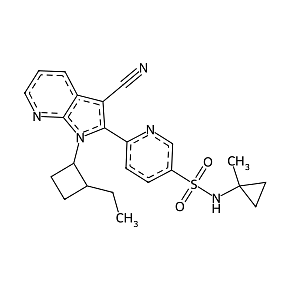 CCC1CCC1n1c(-c2ccc(S(=O)(=O)NC3(C)CC3)cn2)c(C#N)c2cccnc21